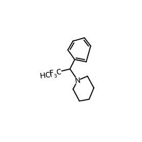 Cl.FC(F)(F)C(c1ccccc1)N1CCCCC1